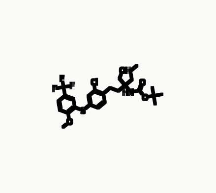 CCCC(CO)(CCc1ccc(Sc2cc(C(F)(F)F)ccc2OC)cc1Cl)NC(=O)OC(C)(C)C